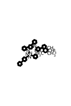 CC1CC(C)(C)c2c(-c3cccc(-n4c5ccccc5c5cc6c7ccccc7n(-c7nc(-c8ccccc8)nc(-c8ccc(-c9ccccc9)cc8)n7)c6cc54)c3)cccc2C1(C)C